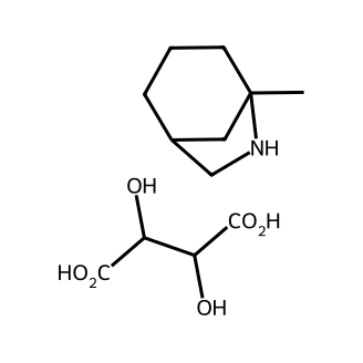 CC12CCCC(CN1)C2.O=C(O)C(O)C(O)C(=O)O